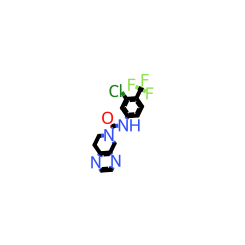 O=C(Nc1ccc(C(F)(F)F)c(Cl)c1)N1CCc2nccnc2C1